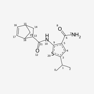 CC(C)c1cc(C(N)=O)c(NC(=O)C2CC3C=CC2C3)s1